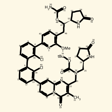 COc1nc(-c2cccc(-c3cccc(-c4ccn5c(=O)c(C)c(CN(C[C@H]6CCC(=O)N6)C(=O)OC(C)(C)C)nc5c4)c3Cl)c2Cl)ccc1CC(OC(N)=O)[C@@H]1CCC(=O)N1